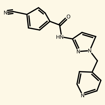 N#Cc1ccc(C(=O)Nc2ccn(Cc3ccncc3)n2)cc1